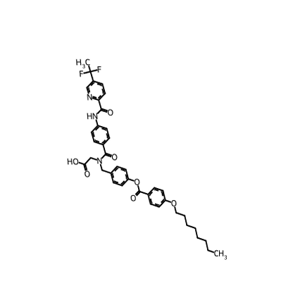 CCCCCCCCOc1ccc(C(=O)Oc2ccc(CN(CC(=O)O)C(=O)c3ccc(NC(=O)c4ccc(C(C)(F)F)cn4)cc3)cc2)cc1